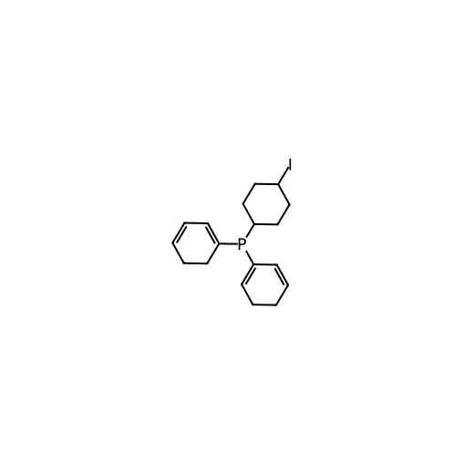 IC1CCC(P(C2=CCCC=C2)C2=CC=CCC2)CC1